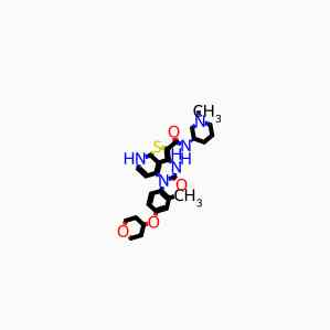 Cc1cc(OC2CCOCC2)ccc1N1C(=O)NC2=C(C(=O)N[C@@H]3CCCN(C)C3)SC3NC=CC1=C23